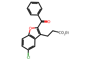 CCOC(=O)CCc1c(C(=O)c2ccccc2)oc2ccc(Cl)cc12